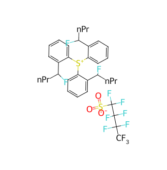 CCCC(F)c1ccccc1[S+](c1ccccc1C(F)CCC)c1ccccc1C(F)CCC.O=S(=O)([O-])C(F)(F)C(F)(F)C(F)(F)C(F)(F)F